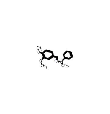 COc1ccc(/C=N/N(C)c2ccccc2)cc1OC